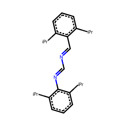 CC(C)c1cccc(C(C)C)c1/C=N/C=N/c1c(C(C)C)cccc1C(C)C